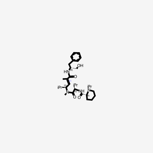 C/C(=C\[C@H](C(C)C)N(C)C(=O)[C@@H](NC(=O)[C@H]1CCCCN1C(C)C)C(C)C)C(=O)N[C@@H](CO)Cc1ccccc1